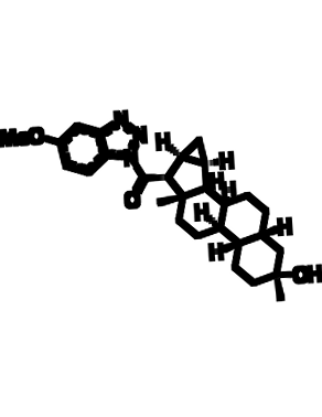 COc1ccc2c(c1)nnn2C(=O)[C@H]1[C@H]2C[C@H]2[C@H]2[C@@H]3CC[C@@H]4C[C@](C)(O)CC[C@@H]4[C@H]3CC[C@@]21C